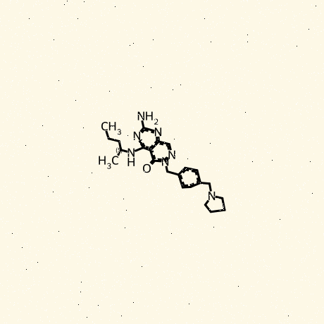 CCC[C@H](C)Nc1nc(N)nc2cnn(Cc3ccc(CN4CCCC4)cc3)c(=O)c12